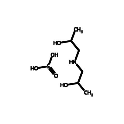 CC(O)CNCC(C)O.O=S(O)O